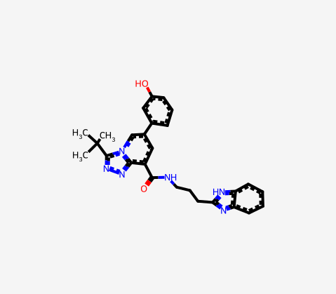 CC(C)(C)c1nnc2c(C(=O)NCCCc3nc4ccccc4[nH]3)cc(-c3cccc(O)c3)cn12